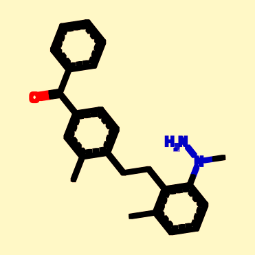 Cc1cc(C(=O)c2ccccc2)ccc1CCc1c(C)cccc1N(C)N